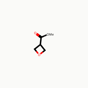 COC(=O)C1COC1